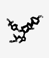 CCS(=O)(=O)c1ccc(Oc2cc3cc(-c4ccc(C(F)(F)F)cn4)[nH]c3cc2C2CCC(=O)N2CC(=O)OC(C)(C)C)cc1